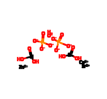 O.O=P([O-])([O-])[O-].O=P([O-])([O-])[O-].O=[Si](O)O.O=[Si](O)O.[Ca+2].[Sr+2].[Zn+2]